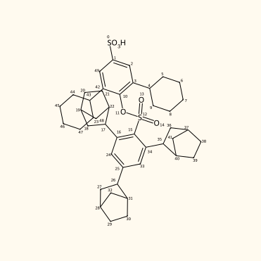 O=S(=O)(O)c1cc(C2CCCCC2)c(OS(=O)(=O)c2c(C3CC4CCC3C4)cc(C3CC4CCC3C4)cc2C2CC3CCC2C3)c(C2CCCCC2)c1